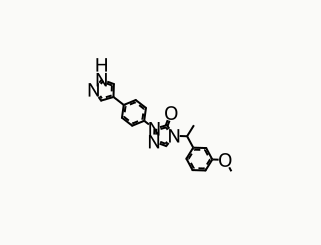 COc1cccc(C(C)n2cnn(-c3ccc(-c4cn[nH]c4)cc3)c2=O)c1